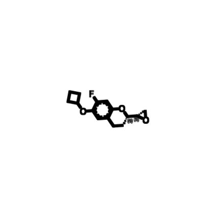 Fc1cc2c(cc1OC1CCC1)CC[C@@H]([C@@H]1CO1)O2